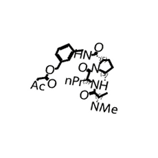 CCC[C@H](NC(=O)[C@H](C)NC)C(=O)N1[C@@H](C)CC[C@H]1C(=O)NCc1cccc(COC(=O)CC(C)=O)c1